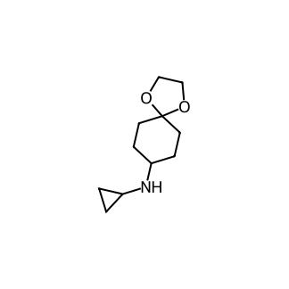 C1COC2(CCC(NC3CC3)CC2)O1